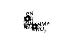 CNc1cc(Nc2nncn2-c2ccc(C#N)cc2)ccc1[N+](=O)[O-]